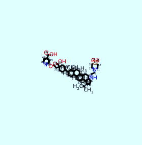 C=C(C)[C@@H]1CC[C@]2(NCCN3CCS(=O)(=O)CC3)CC[C@]3(C)[C@H](CC[C@@H]4[C@@]5(C)CC=C(C6=CCC(CCOc7cc(C(=O)O)ccn7)(C(=O)O)CC6)C(C)(C)[C@@H]5CC[C@]43C)[C@@H]12